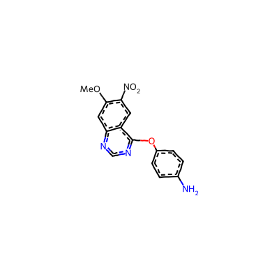 COc1cc2ncnc(Oc3ccc(N)cc3)c2cc1[N+](=O)[O-]